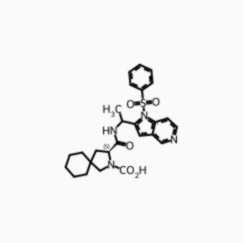 CC(NC(=O)[C@@H]1CC2(CCCCC2)CN1C(=O)O)c1cc2cnccc2n1S(=O)(=O)c1ccccc1